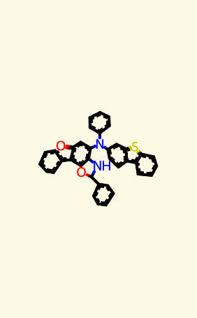 c1ccc(C2Nc3c(N(c4ccccc4)c4ccc5c(c4)sc4ccccc45)cc4oc5ccccc5c4c3O2)cc1